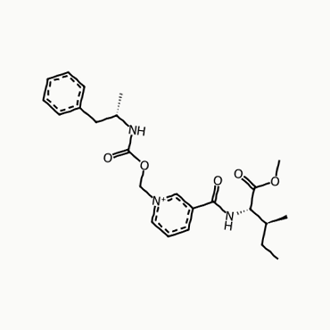 CC[C@H](C)[C@H](NC(=O)c1ccc[n+](COC(=O)N[C@@H](C)Cc2ccccc2)c1)C(=O)OC